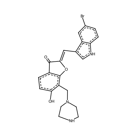 O=C1/C(=C/c2c[nH]c3ccc(Br)cc23)Oc2c1ccc(O)c2CN1CCNCC1